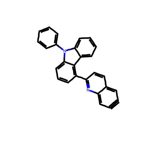 c1cc2ccc(-c3cccc4c3c3ccccc3n4-c3ccccc3)nc2cc#1